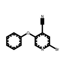 N#Cc1cc(Br)ncc1Oc1ccccc1